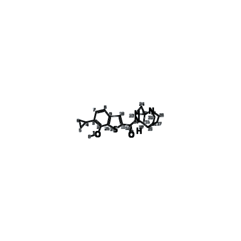 COc1c(C2CC2)ccc2cc(C(=O)N[C@@H]3C4CCN(CC4)C34CC4)sc12